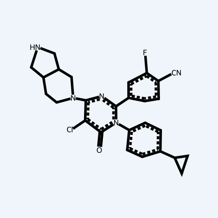 N#Cc1ccc(-c2nc(N3CCC4CNCC4C3)c(Cl)c(=O)n2-c2ccc(C3CC3)cc2)cc1F